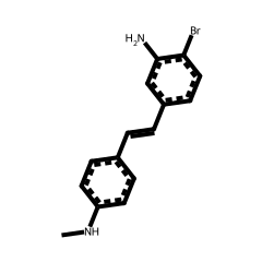 CNc1ccc(/C=C/c2ccc(Br)c(N)c2)cc1